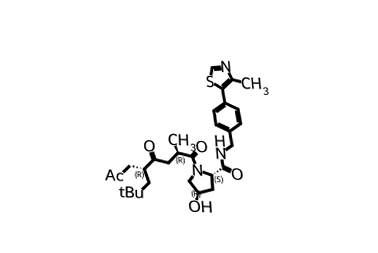 CC(=O)C[C@@H](CC(C)(C)C)C(=O)C[C@@H](C)C(=O)N1C[C@H](O)C[C@H]1C(=O)NCc1ccc(-c2scnc2C)cc1